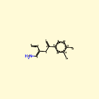 C=C/C(=C\N)CC(=C)c1ccc(C)c(C)c1